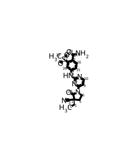 CC[C@]1(C#N)CCN(c2ccnc(Nc3ccc(C(N)=O)c(S(C)(=O)=O)c3)n2)C1=O